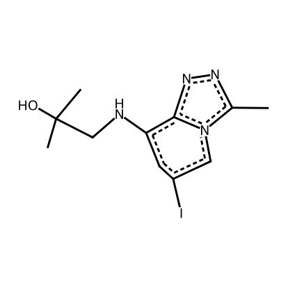 Cc1nnc2c(NCC(C)(C)O)cc(I)cn12